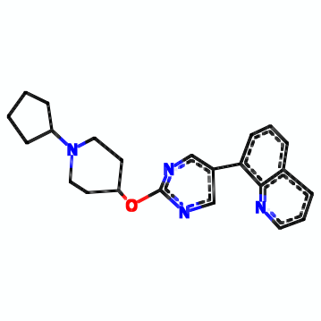 c1cnc2c(-c3cnc(OC4CCN(C5CCCC5)CC4)nc3)cccc2c1